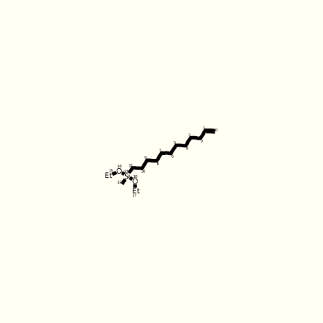 C=CCCCCCCCCCC[Si](C)(OCC)OCC